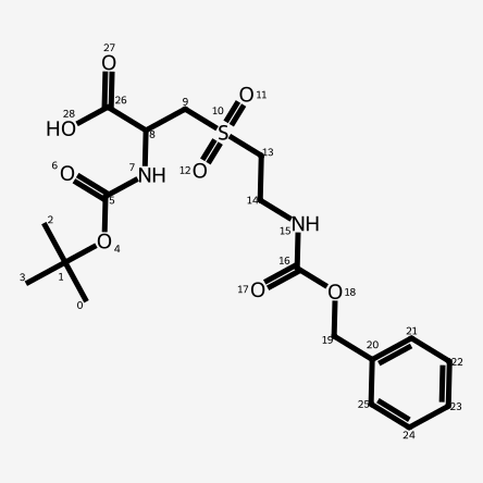 CC(C)(C)OC(=O)NC(CS(=O)(=O)CCNC(=O)OCc1ccccc1)C(=O)O